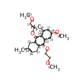 COCCOc1c2c(c(OCCOC)c3c(C)cc(OC)cc13)CC(C)=CC2